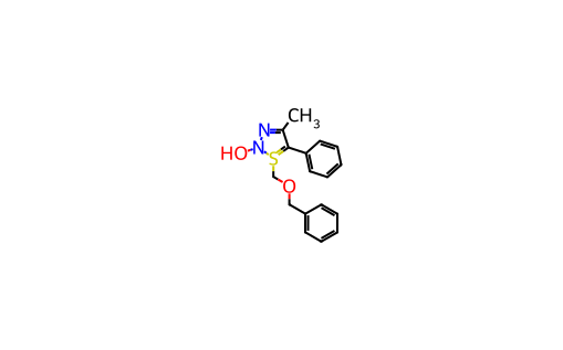 CC1=NN(O)S(COCc2ccccc2)=C1c1ccccc1